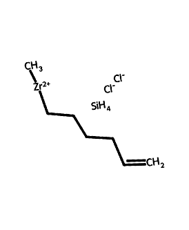 C=CCCC[CH2][Zr+2][CH3].[Cl-].[Cl-].[SiH4]